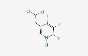 FC1=C(F)C(F)N(Cl)[C]=C1CC(Cl)Cl